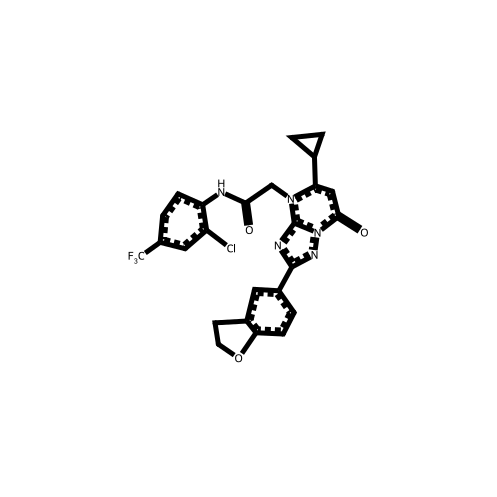 O=C(Cn1c(C2CC2)cc(=O)n2nc(-c3ccc4c(c3)CCO4)nc12)Nc1ccc(C(F)(F)F)cc1Cl